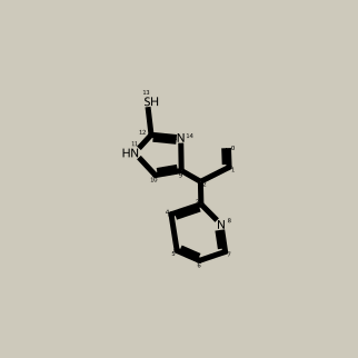 C=CC(c1ccccn1)c1c[nH]c(S)n1